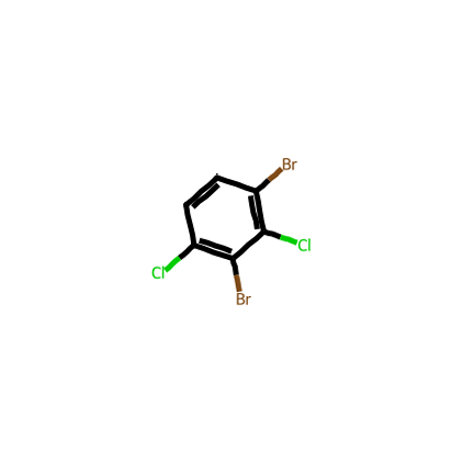 Clc1c[c]c(Br)c(Cl)c1Br